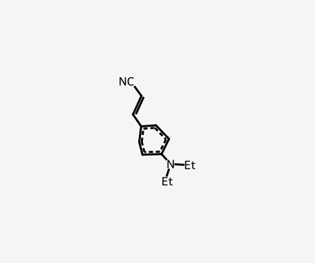 CCN(CC)c1ccc(C=CC#N)cc1